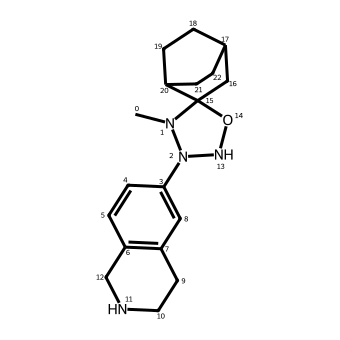 CN1N(c2ccc3c(c2)CCNC3)NOC12CC1CCC2CC1